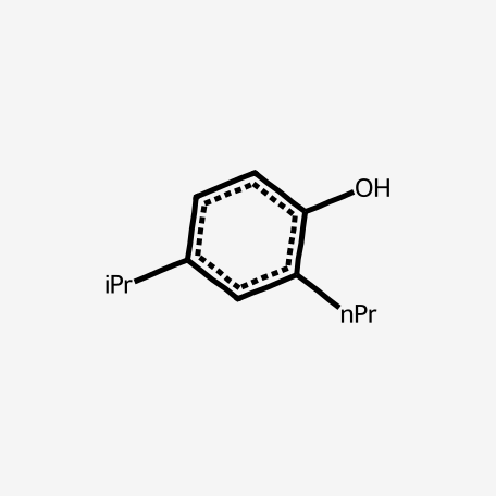 CCCc1cc(C(C)C)ccc1O